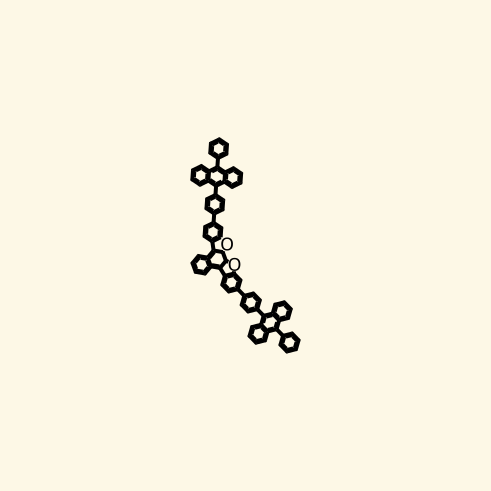 c1ccc(-c2c3ccccc3c(-c3ccc(-c4ccc5c(c4)OC4C5=c5ccccc5=C5c6ccc(-c7ccc(-c8c9ccccc9c(-c9ccccc9)c9ccccc89)cc7)cc6OC54)cc3)c3ccccc23)cc1